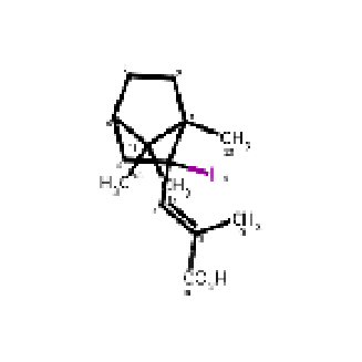 CC(=CC1(I)CC2CCC1(C)C2(C)C)C(=O)O